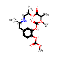 CCCOC(=O)Oc1ccc(C[C@H](NCC(C)OC(=O)CC(C)CC)C(=O)O)cc1OC(=O)OCCC